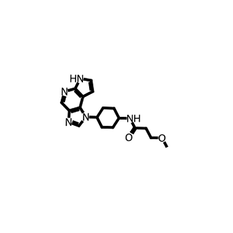 COCCC(=O)NC1CCC(n2cnc3cnc4[nH]ccc4c32)CC1